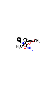 CCc1c(C(=O)C(N)=O)c2c(CCC(=O)OC)cccc2n1Cc1ccccc1